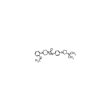 COc1ccccc1N1CCN(C(=O)Nc2ccc(N3CCC(N(C)C)C3)cc2)CC1